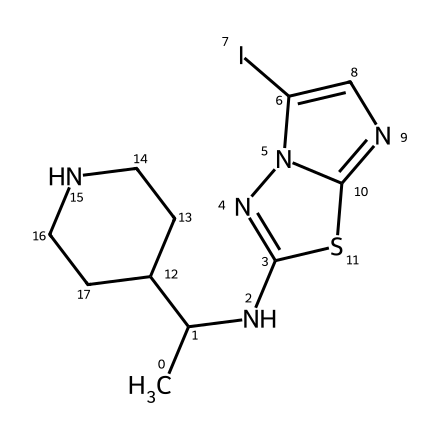 CC(Nc1nn2c(I)cnc2s1)C1CCNCC1